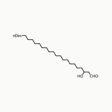 CCCCCCCCCCCCCCCCCCCCCCCCCCCC(O)C[C]=O